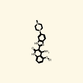 CCOc1cccc2[nH]c(=O)c(-c3nc4ccc(N5CCN(C)CC5)cc4[nH]3)c(N)c12